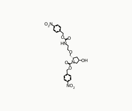 O=C(NCCOC[C@@H]1C[C@@H](O)CN1C(=O)OCc1ccc([N+](=O)[O-])cc1)OCc1ccc([N+](=O)[O-])cc1